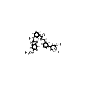 CCC(CC(=O)O)c1cccc(CNC(=O)c2cccc(Nc3nc4cc(OC)ccc4[nH]3)c2)c1